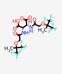 CC(OCC(=O)N[C@H](C(=O)O)[C@@H](NC(=O)COC(C)(C(F)(F)F)C(F)(F)F)C(=O)O)(C(F)(F)F)C(F)(F)F